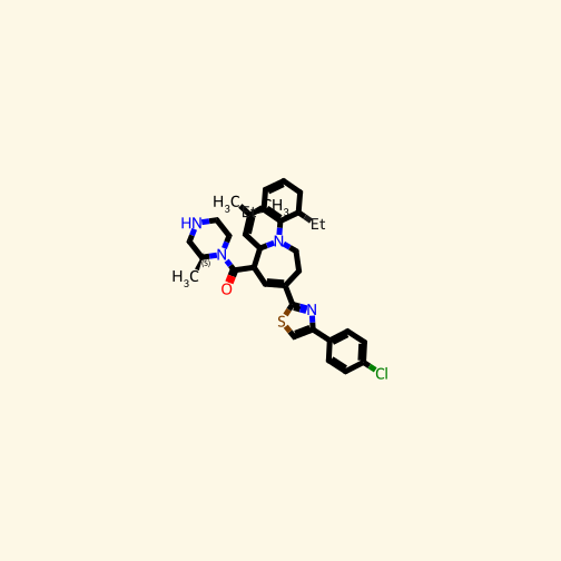 CCC1=C(N2CCC(c3nc(-c4ccc(Cl)cc4)cs3)=CC(C(=O)N3CCNC[C@@H]3C)C2C=C(C)C)C(CC)CC=C1